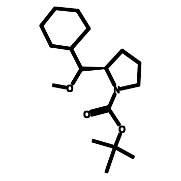 COC(C1CCCCC1)[C@H]1CCCN1C(=O)OC(C)(C)C